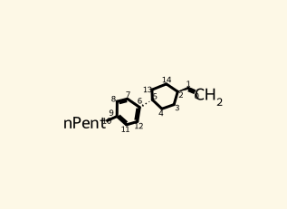 C=C[C@H]1CC[C@H](c2ccc(CCCCC)cc2)CC1